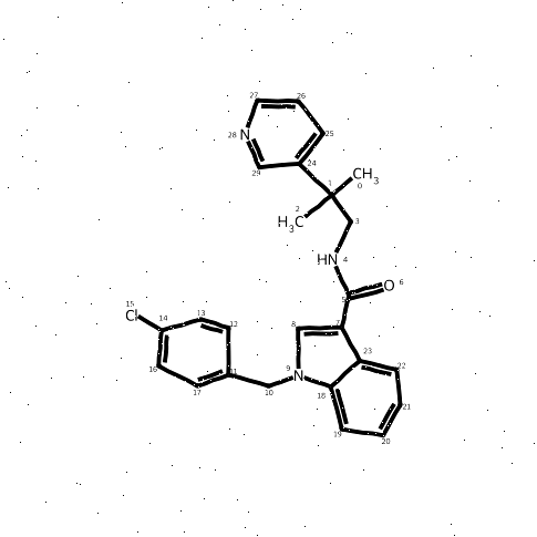 CC(C)(CNC(=O)c1cn(Cc2ccc(Cl)cc2)c2ccccc12)c1cccnc1